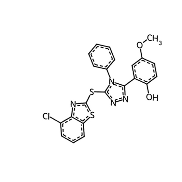 COc1ccc(O)c(-c2nnc(Sc3nc4c(Cl)cccc4s3)n2-c2ccccc2)c1